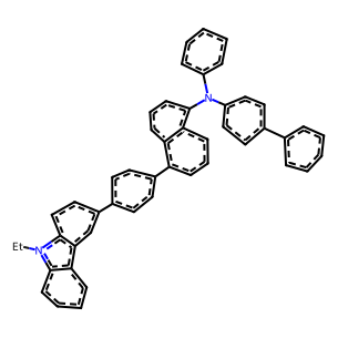 CCn1c2ccccc2c2cc(-c3ccc(-c4cccc5c(N(c6ccccc6)c6ccc(-c7ccccc7)cc6)cccc45)cc3)ccc21